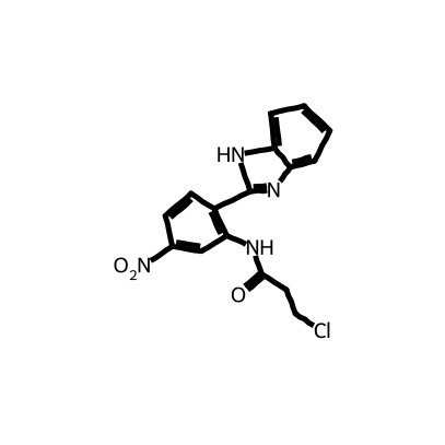 O=C(CCCl)Nc1cc([N+](=O)[O-])ccc1-c1nc2ccccc2[nH]1